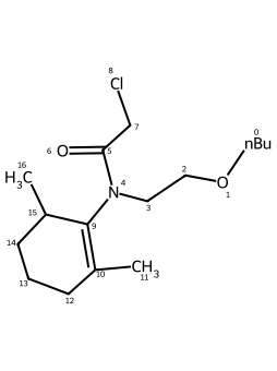 CCCCOCCN(C(=O)CCl)C1=C(C)CCCC1C